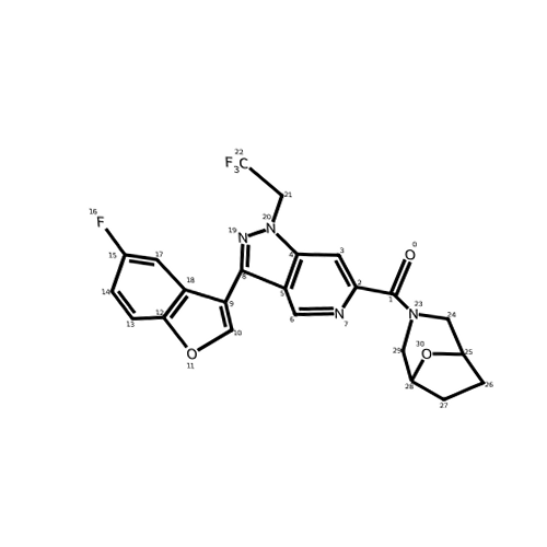 O=C(c1cc2c(cn1)c(-c1coc3ccc(F)cc13)nn2CC(F)(F)F)N1CC2CCC(C1)O2